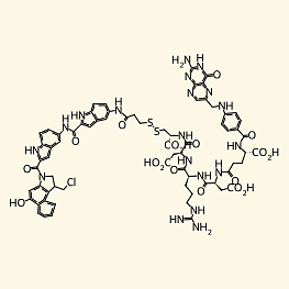 N=C(N)NCCC[C@H](NC(=O)[C@H](CC(=O)O)NC(=O)CC[C@H](NC(=O)c1ccc(NCc2cnc3nc(N)[nH]c(=O)c3n2)cc1)C(=O)O)C(=O)N[C@@H](CC(=O)O)C(=O)N[C@@H](CSSCCC(=O)Nc1ccc2[nH]c(C(=O)Nc3ccc4[nH]c(C(=O)N5CC(CCl)c6c5cc(O)c5ccccc65)cc4c3)cc2c1)C(=O)O